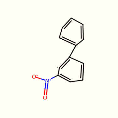 O=[N+]([O-])c1[c]c(-c2[c]cccc2)ccc1